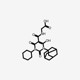 O=C(O)CNC(=O)c1c(O)n(C23CC4CC(CC(C4)C2)C3)c(=O)n(C2CCCCC2)c1=O